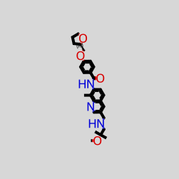 COC(C)(C)CNCc1cnc2c(C)c(NC(=O)c3ccc(OC[C@H]4CCCO4)cc3)ccc2c1